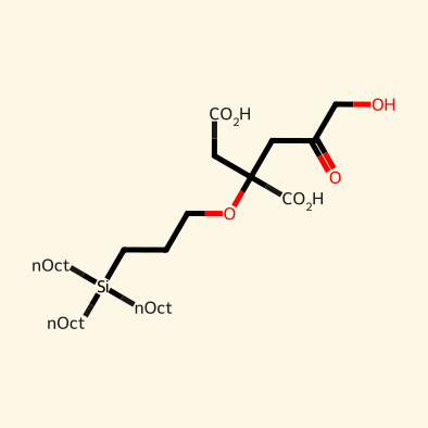 CCCCCCCC[Si](CCCCCCCC)(CCCCCCCC)CCCOC(CC(=O)O)(CC(=O)CO)C(=O)O